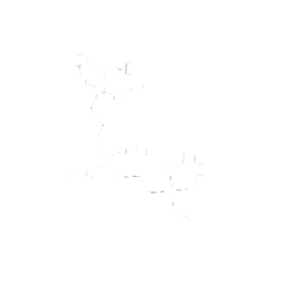 CCCC[Si](CCCC)(SCC[Si](OCC)(OCC)OCC)SCC[Si](OCC)(OCC)OCC